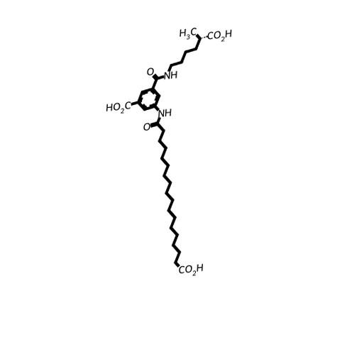 C[C@@H](CCCCNC(=O)c1cc(NC(=O)CCCCCCCCCCCCCCCCC(=O)O)cc(C(=O)O)c1)C(=O)O